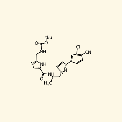 C[C@H](Cn1ccc(-c2ccc(C#N)c(Cl)c2)n1)NC(=O)c1cnc(CNC(=O)OC(C)(C)C)[nH]1